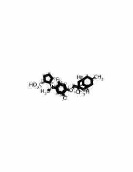 C[C@H]1C[C@@H]2C[C@H](C1)CC(C)(COc1cc(F)c(N(C)[C@@H]3CCC[C@H]3C(=O)O)cc1Cl)C2